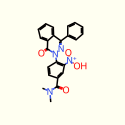 CN(C)C(=O)c1ccc(-n2nc(-c3ccccc3)c3ccccc3c2=O)c([N+](=O)O)c1